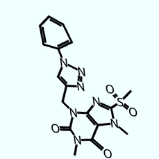 Cn1c(=O)c2c(nc(S(C)(=O)=O)n2C)n(Cc2cn(-c3ccccc3)nn2)c1=O